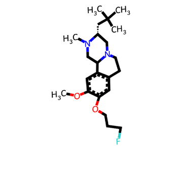 COc1cc2c(cc1OCCCF)CCN1C[C@@H](CC(C)(C)C)N(C)CC21